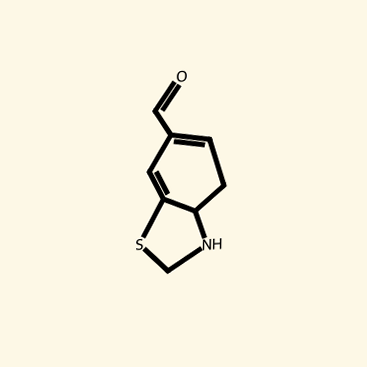 O=CC1=CCC2NCSC2=C1